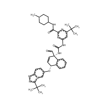 CN1CCC(NC(=O)c2nc(NC(=O)N[C@@]3(C=O)C=C[C@@H](Oc4ccc5nnc(C(C)(C)C)n5c4)c4ccccc43)cc(C(C)(C)C)n2)CC1